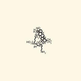 CC(C)[C@H](NC(=O)[C@H](CCCCN)NC(=O)[C@]12CCC(C)(C)C[C@H]1C1=CC[C@@H]3[C@@]4(C)CC[C@H](O)C(C)(C)[C@@H]4CC[C@@]3(C)[C@]1(C)CC2)C(=O)N[C@@H](CCCCN)C(=O)O